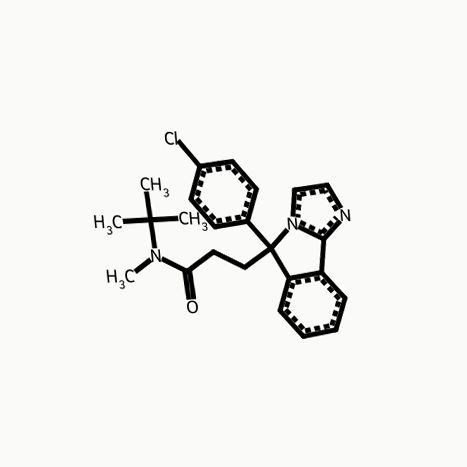 CN(C(=O)CCC1(c2ccc(Cl)cc2)c2ccccc2-c2nccn21)C(C)(C)C